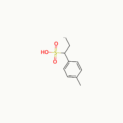 [CH2]CC(c1ccc(C)cc1)S(=O)(=O)O